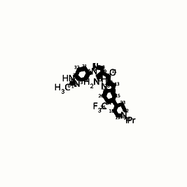 Cc1nc2cc(-n3ncc(C(=O)c4cc5cc(C6CCN(C(C)C)CC6)c(C(F)(F)F)cc5[nH]4)c3N)ccc2[nH]1